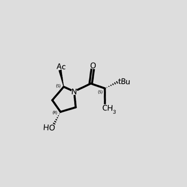 CC(=O)[C@@H]1C[C@@H](O)CN1C(=O)[C@@H](C)C(C)(C)C